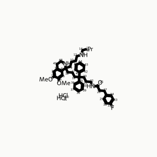 COc1cc2c(cc1OC)C(CCCCNCC(C)C)(CCCC(CCCNC(=O)CCc1ccc(F)cc1)(c1ccccc1)c1ccccc1)NCC2.Cl.Cl